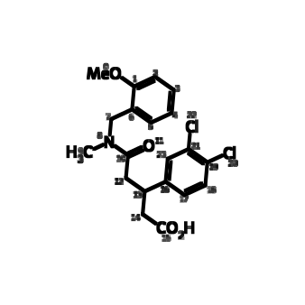 COc1ccccc1CN(C)C(=O)CC(CC(=O)O)c1ccc(Cl)c(Cl)c1